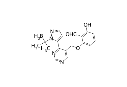 BC(C)(C)n1nccc1-c1ncncc1COc1cccc(O)c1C=O